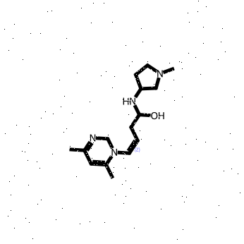 CC1=CC(C)=NCN1/C=C\CC(O)NC1CCN(C)C1